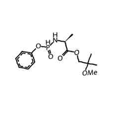 COC(C)(C)COC(=O)[C@H](C)N[PH](=O)Oc1ccccc1